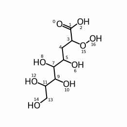 O=C(O)C(CC(O)C(O)C(O)C(O)CO)OO